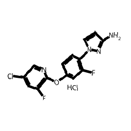 Cl.Nc1[c]cn(-c2ccc(Oc3ncc(Cl)cc3F)cc2F)n1